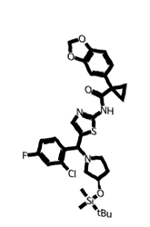 CC(C)(C)[Si](C)(C)O[C@@H]1CCN(C(c2cnc(NC(=O)C3(c4ccc5c(c4)OCO5)CC3)s2)c2ccc(F)cc2Cl)C1